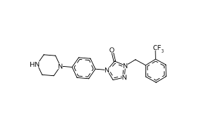 O=c1n(-c2ccc(N3CCNCC3)cc2)cnn1Cc1ccccc1C(F)(F)F